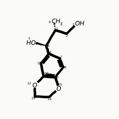 C[C@H](CO)[C@H](O)c1ccc2c(c1)OCCO2